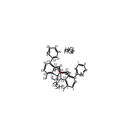 Cc1ccc(-c2ccccn2)c2c1[CH]([Zr]([CH3])([CH3])(=[SiH2])[CH]1C(C(C)C)=Cc3c(-c4ccccn4)ccc(C)c31)C(C(C)C)=C2.Cl.Cl